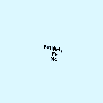 B.B.[Fe].[Fe].[Nd]